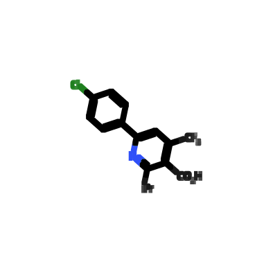 CC(C)c1nc(-c2ccc(Cl)cc2)cc(C(F)(F)F)c1C(=O)O